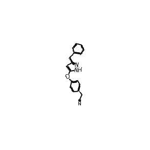 N#CCc1ccc(Oc2cc(Cc3ccccc3)n[nH]2)cc1